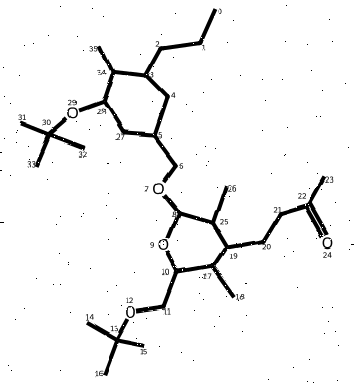 CCCC1CC(COC2OC(COC(C)(C)C)C(C)C(CCC(C)=O)C2C)CC(OC(C)(C)C)C1C